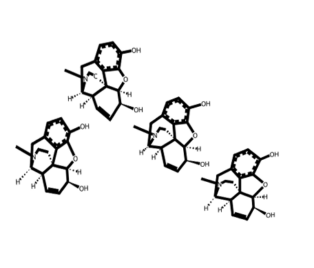 CN1CC[C@]23c4c5ccc(O)c4O[C@H]2[C@@H](O)C=C[C@H]3[C@H]1C5.CN1CC[C@]23c4c5ccc(O)c4O[C@H]2[C@@H](O)C=C[C@H]3[C@H]1C5.CN1CC[C@]23c4c5ccc(O)c4O[C@H]2[C@@H](O)C=C[C@H]3[C@H]1C5.CN1CC[C@]23c4c5ccc(O)c4O[C@H]2[C@@H](O)C=C[C@H]3[C@H]1C5